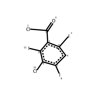 O=C(Cl)c1c(I)cc(I)c(Cl)c1I